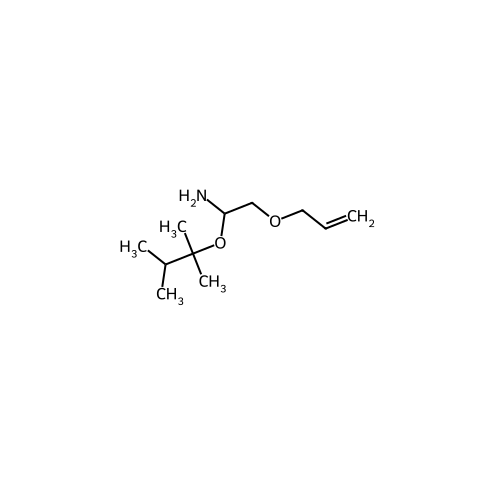 C=CCOCC(N)OC(C)(C)C(C)C